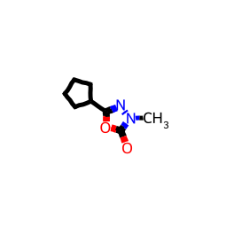 Cn1nc(C2CCCC2)oc1=O